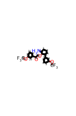 Nc1cccc(-c2cccc(OC(F)(F)F)c2)c1OCC(=O)c1cccc(OC(F)(F)F)c1